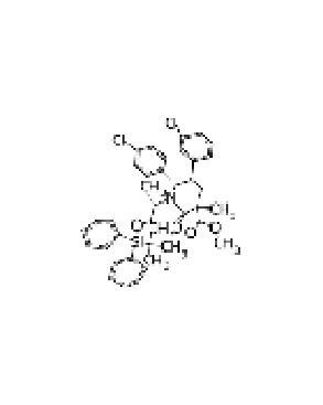 CC[C@@H](CO[Si](c1ccccc1)(c1ccccc1)C(C)(C)C)N1C(=O)[C@@](C)(C(=O)OC)C[C@H](c2cccc(Cl)c2)[C@H]1c1ccc(Cl)cc1